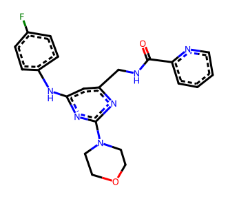 O=C(NCc1cc(Nc2ccc(F)cc2)nc(N2CCOCC2)n1)c1ccccn1